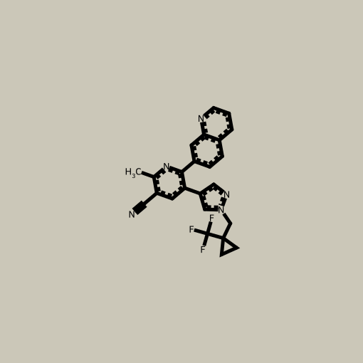 Cc1nc(-c2ccc3cccnc3c2)c(-c2cnn(CC3(C(F)(F)F)CC3)c2)cc1C#N